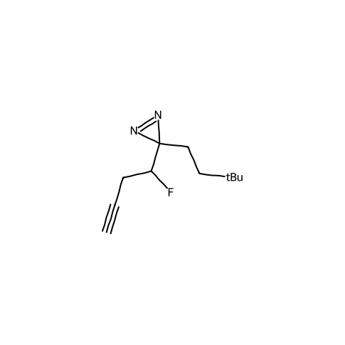 C#CCC(F)C1(CCC(C)(C)C)N=N1